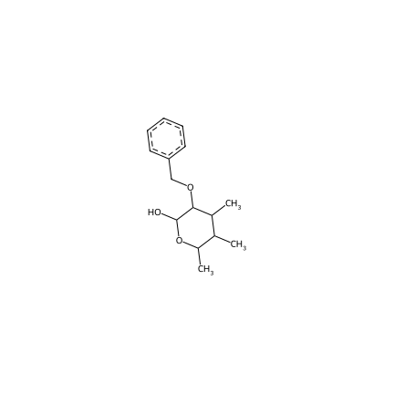 CC1OC(O)C(OCc2ccccc2)C(C)C1C